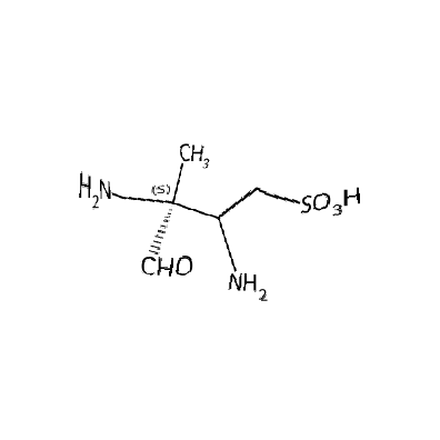 C[C@@](N)(C=O)C(N)CS(=O)(=O)O